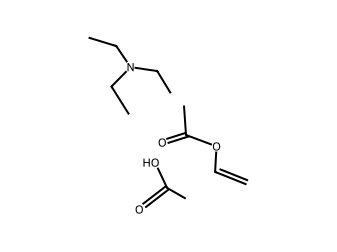 C=COC(C)=O.CC(=O)O.CCN(CC)CC